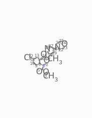 CO/C=C(/C(=O)OC)c1ccc(Cl)cc1COc1ccc(N2CCOCC2)cn1